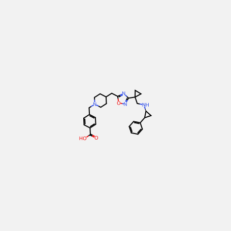 O=C(O)c1ccc(CN2CCC(Cc3nc(C4(CN[C@H]5CC5c5ccccc5)CC4)no3)CC2)cc1